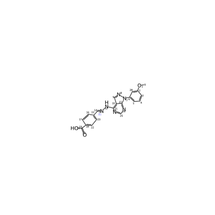 COc1cccc(-n2ncc3c(N/N=C/c4ccc(C(=O)O)cc4)ncnc32)c1